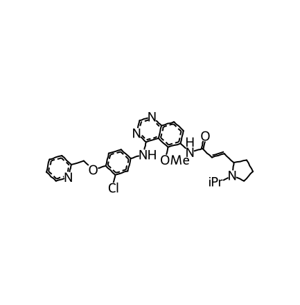 COc1c(NC(=O)C=CC2CCCN2C(C)C)ccc2ncnc(Nc3ccc(OCc4ccccn4)c(Cl)c3)c12